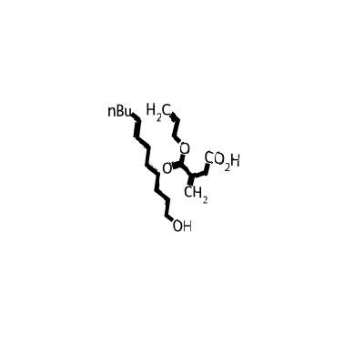 C=CCOC(=O)C(=C)CC(=O)O.CCCCC=CCCCCCCO